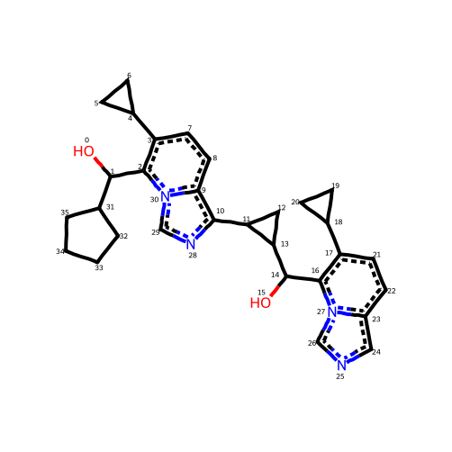 OC(c1c(C2CC2)ccc2c(C3CC3C(O)c3c(C4CC4)ccc4cncn34)ncn12)C1CCCC1